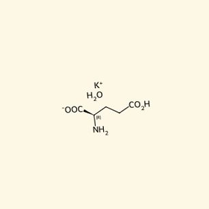 N[C@H](CCC(=O)O)C(=O)[O-].O.[K+]